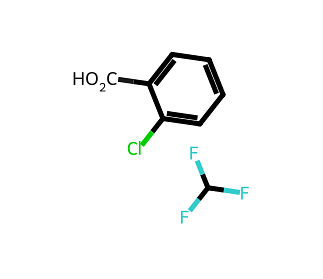 FC(F)F.O=C(O)c1ccccc1Cl